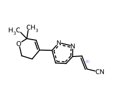 CC1(C)C=C(c2ccc(/C=C/C#N)nn2)CCO1